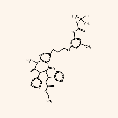 CCOC(=O)CC(c1ccccc1)N1C(=O)c2cc(CCCOc3cc(C)nc(NC(=O)OC(C)(C)C)n3)ccc2N(C)C(=O)C1c1ccccc1